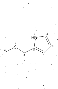 CSCc1ccc[nH]1